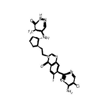 Nc1nc(-c2cc3ncn(CC[C@H]4CCC[C@@H]4Nc4cn[nH]c(=O)c4C(F)(F)F)c(=O)c3cc2F)ncc1Cl